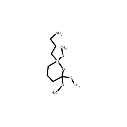 COC1(OC)CCC[Si](CCCN)(OC)O1